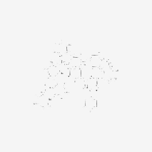 c1ccc(-c2nc(-c3ccccc3)nc(-c3cccc4oc5ccc(-c6ccc7c(c6)c6ccccc6n7-c6cccc(-c7cccc8c7oc7ccccc78)c6)cc5c34)n2)cc1